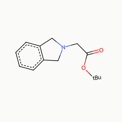 CC(C)(C)OC(=O)CN1Cc2ccccc2C1